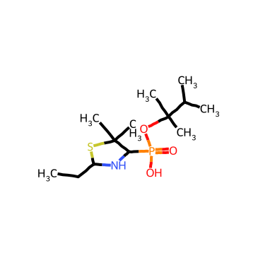 CCC1NC(P(=O)(O)OC(C)(C)C(C)C)C(C)(C)S1